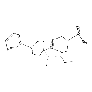 CCCC(C)C1([SiH]2CCC(C(=O)O)CC2)CCC(c2ccccc2)CC1